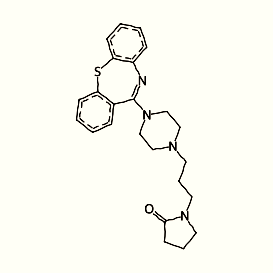 O=C1CCCN1CCCN1CCN(C2=Nc3ccccc3Sc3ccccc32)CC1